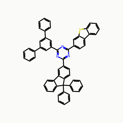 c1ccc(-c2cc(-c3ccccc3)cc(-c3nc(-c4ccc5c(c4)-c4ccccc4C5(c4ccccc4)c4ccccc4)nc(-c4ccc5c(c4)sc4ccccc45)n3)c2)cc1